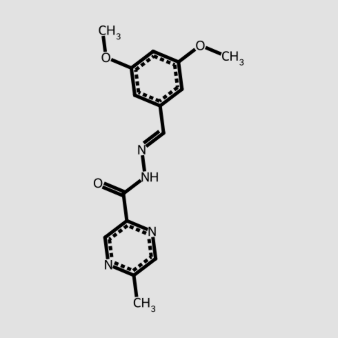 COc1cc(/C=N/NC(=O)c2cnc(C)cn2)cc(OC)c1